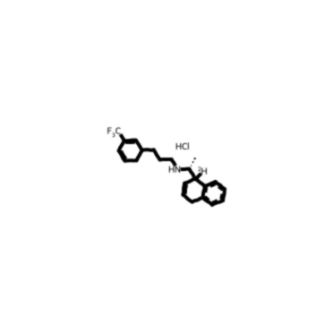 Cl.[2H]C1([C@@H](C)NCCCC2C=C(C(F)(F)F)C=CC2)C=CCc2ccccc21